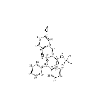 CC(C)(C)OC(=O)[C@H](Cc1cc(Cl)ccc1Br)N=C(c1ccccc1)c1ccccc1